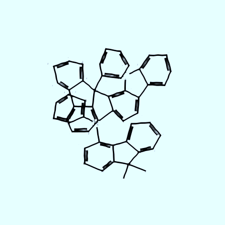 CC1(C)c2ccccc2-c2c(N(c3ccccc3)c3ccc4c(oc5ccccc54)c3C3(c4ccccc4)c4ccccc4-c4ccccc43)cccc21